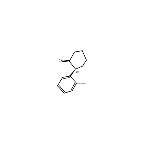 Cc1ccccc1[C@@H]1CCCCC1=O